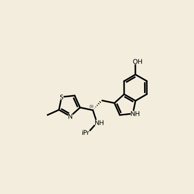 Cc1nc([C@H](Cc2c[nH]c3ccc(O)cc23)NC(C)C)cs1